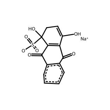 O=C1C2=C(C(=O)c3ccccc31)C(O)(S(=O)(=O)[O-])CC=C2O.[Na+]